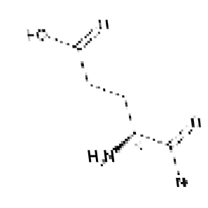 [N]C(=O)[C@@H](N)CCC(=O)O